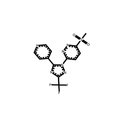 CS(=O)(=O)c1ccc(-n2nc(C(F)(F)F)nc2-c2ccncc2)nn1